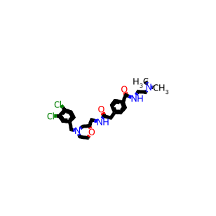 CN(C)CCNC(=O)c1ccc(CC(=O)NCC2CN(Cc3ccc(Cl)c(Cl)c3)CCO2)cc1